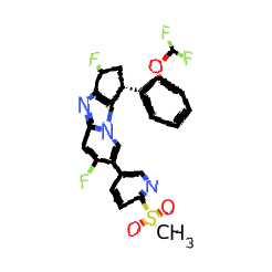 CS(=O)(=O)c1ccc(-c2cn3c4c(nc3cc2F)C(F)C[C@@H]4c2ccccc2OC(F)F)cn1